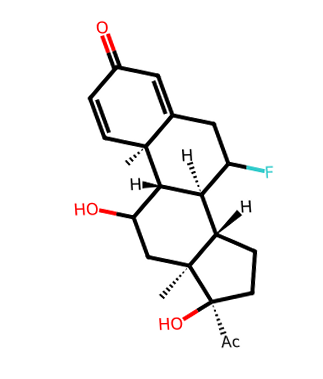 CC(=O)[C@@]1(O)CC[C@H]2[C@@H]3C(F)CC4=CC(=O)C=C[C@]4(C)[C@H]3C(O)C[C@@]21C